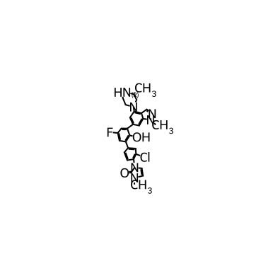 C[C@@H]1CN(c2cc(-c3cc(F)cc(-c4ccc(-n5ccn(C)c5=O)c(Cl)c4)c3O)cc3c2cnn3C)CCN1